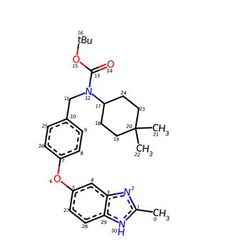 Cc1nc2cc(Oc3ccc(CN(C(=O)OC(C)(C)C)C4CCC(C)(C)CC4)cc3)ccc2[nH]1